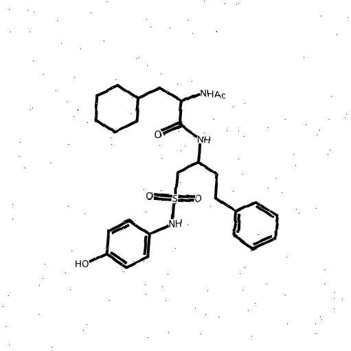 CC(=O)NC(CC1CCCCC1)C(=O)NC(CCc1ccccc1)CS(=O)(=O)Nc1ccc(O)cc1